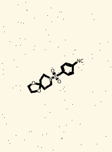 [C-]#[N+]c1ccc(S(=O)(=O)N2CCC3(CC2)OCCO3)cc1